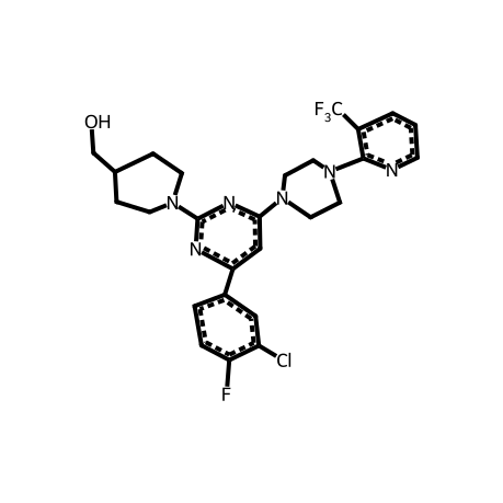 OCC1CCN(c2nc(-c3ccc(F)c(Cl)c3)cc(N3CCN(c4ncccc4C(F)(F)F)CC3)n2)CC1